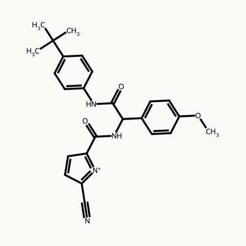 COc1ccc(C(NC(=O)C2=[N+]=C(C#N)C=C2)C(=O)Nc2ccc(C(C)(C)C)cc2)cc1